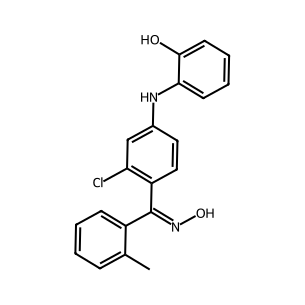 Cc1ccccc1C(=NO)c1ccc(Nc2ccccc2O)cc1Cl